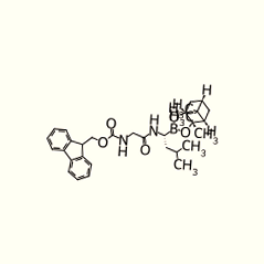 CC(C)C[C@H](NC(=O)CNC(=O)OCC1c2ccccc2-c2ccccc21)B1O[C@@H]2C[C@@H]3C[C@@H](C3(C)C)[C@]2(C)O1